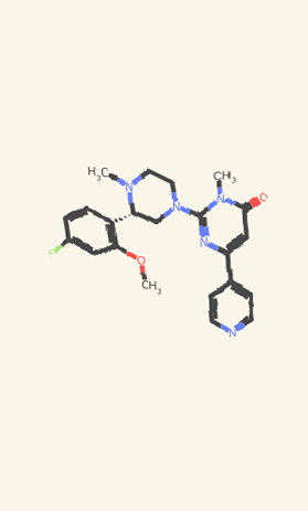 COc1cc(F)ccc1[C@H]1CN(c2nc(-c3ccncc3)cc(=O)n2C)CCN1C